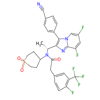 C[C@H](c1nc2c(F)cc(F)cn2c1-c1ccc(C#N)cc1)N(C(=O)Cc1ccc(F)c(C(F)(F)F)c1)C1CCS(=O)(=O)CC1